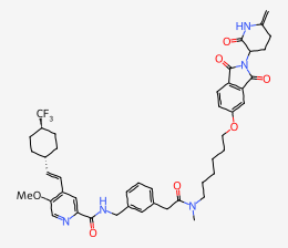 C=C1CCC(N2C(=O)c3ccc(OCCCCCCN(C)C(=O)Cc4cccc(CNC(=O)c5cc(/C=C/[C@H]6CC[C@H](C(F)(F)F)CC6)c(OC)cn5)c4)cc3C2=O)C(=O)N1